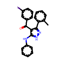 Cc1ccccc1-c1n[nH]c(Nc2ccccc2)c1C(=O)c1cccc(I)c1